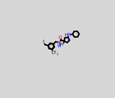 CC(C)C1(C(=O)NCc2cc(CF)cc(C(F)(F)F)c2)CCC(NC2CCCCC2)C1